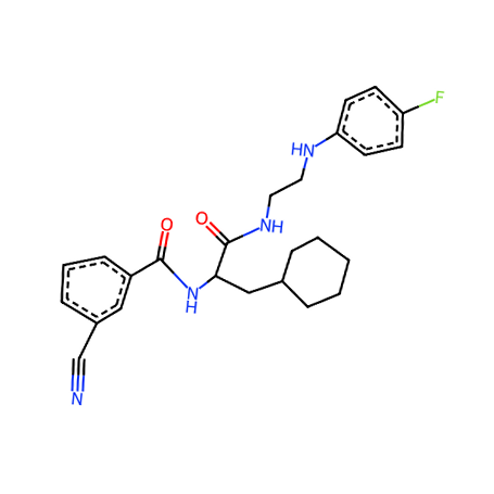 N#Cc1cccc(C(=O)NC(CC2CCCCC2)C(=O)NCCNc2ccc(F)cc2)c1